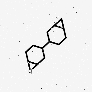 C1CC(C2CCC3OC3C2)CC2CC12